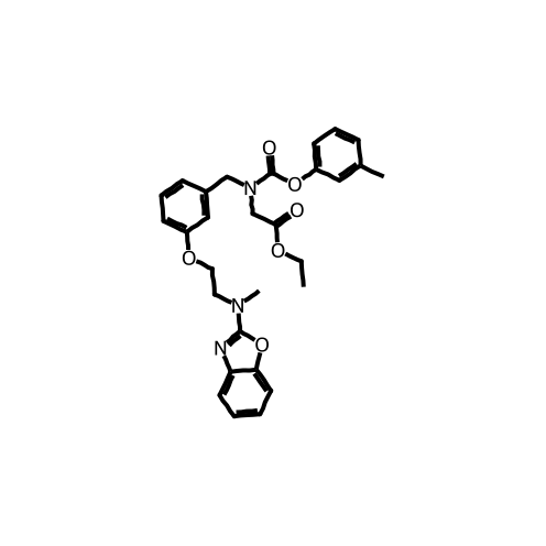 CCOC(=O)CN(Cc1cccc(OCCN(C)c2nc3ccccc3o2)c1)C(=O)Oc1cccc(C)c1